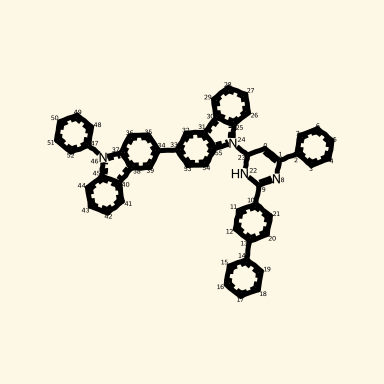 C1=C(c2ccccc2)N=C(c2ccc(-c3ccccc3)cc2)NC1n1c2ccccc2c2cc(-c3ccc4c(c3)c3ccccc3n4-c3ccccc3)ccc21